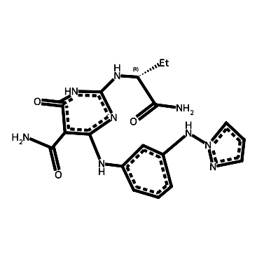 CC[C@@H](Nc1nc(Nc2cccc(Nn3cccn3)c2)c(C(N)=O)c(=O)[nH]1)C(N)=O